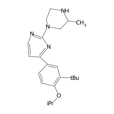 CC1CN(c2nccc(-c3ccc(OC(C)C)c(C(C)(C)C)c3)n2)CCN1